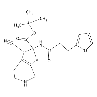 CC(C)(C)OC(=O)C1(NC(=O)CCc2ccco2)SC2=C(CCNC2)C1C#N